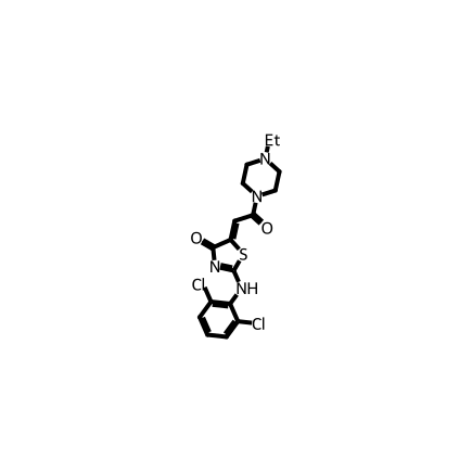 CCN1CCN(C(=O)/C=C2\SC(Nc3c(Cl)cccc3Cl)=NC2=O)CC1